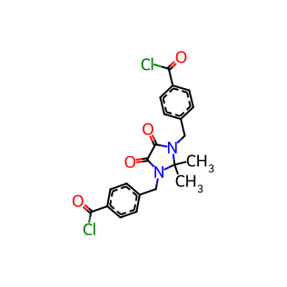 CC1(C)N(Cc2ccc(C(=O)Cl)cc2)C(=O)C(=O)N1Cc1ccc(C(=O)Cl)cc1